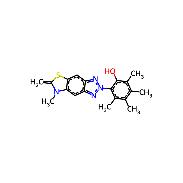 C=C1Sc2cc3nn(-c4c(C)c(C)c(C)c(C)c4O)nc3cc2N1C